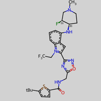 CN1CC[C@@H](Nc2cccc3c2cc(-c2noc(CNC(=O)c4ccc(C(C)(C)C)s4)n2)n3CC(F)(F)F)[C@@H](F)C1